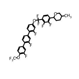 CC1CCC(c2ccc(C(F)(F)Oc3ccc(-c4ccc(-c5ccc(OC(F)(F)F)c(F)c5)c(F)c4)c(F)c3)c(F)c2F)OC1